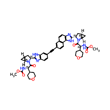 COC(=O)N[C@H](C(=O)N1[C@@H]2C[C@@H]2C[C@H]1c1nc2ccc(C#Cc3ccc4c(ccc5nc([C@@H]6C[C@H]7C[C@H]7N6C(=O)[C@@H](NC(=O)OC)C6CCOCC6)[nH]c54)c3)cc2[nH]1)C1CCOCC1